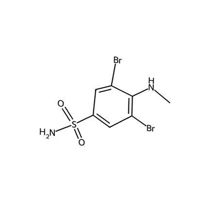 CNc1c(Br)cc(S(N)(=O)=O)cc1Br